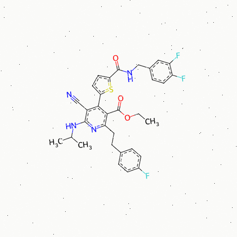 CCOC(=O)c1c(CCc2ccc(F)cc2)nc(NC(C)C)c(C#N)c1-c1ccc(C(=O)NCc2ccc(F)c(F)c2)s1